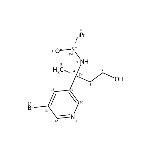 CC(C)[S@@+]([O-])N[C@@](C)(CCO)c1cncc(Br)c1